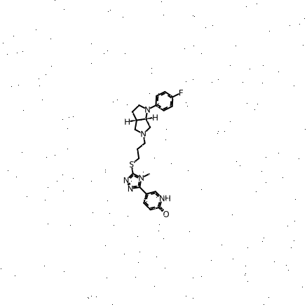 Cn1c(SCCCN2C[C@@H]3CCN(c4ccc(F)cc4)[C@@H]3C2)nnc1-c1ccc(=O)[nH]c1